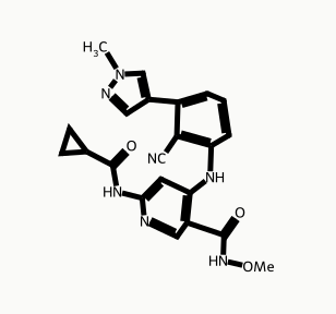 CONC(=O)c1cnc(NC(=O)C2CC2)cc1Nc1cccc(-c2cnn(C)c2)c1C#N